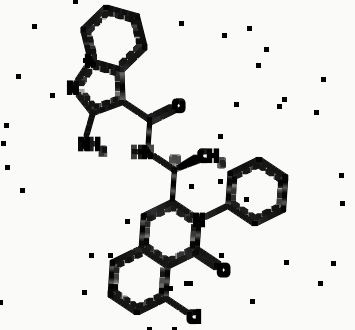 C[C@H](NC(=O)c1c(N)nn2ccccc12)c1cc2cccc(Cl)c2c(=O)n1-c1ccccc1